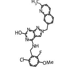 COc1ccc(Cl)c(CNc2nc(O)nc3nn(Cc4ccc5ccc(C)nc5c4)cc23)c1F